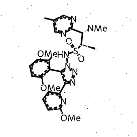 CN[C@@H](c1ncc(C)cn1)[C@@H](C)S(=O)(=O)Nn1nnc(-c2cccc(OC)n2)c1-c1c(OC)cccc1OC